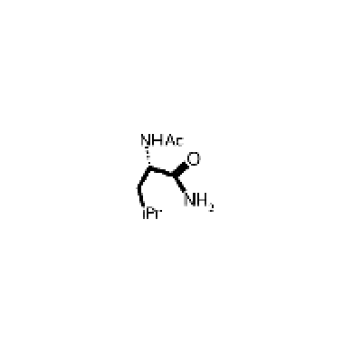 CC(=O)N[C@@H](CC(C)C)C(N)=O